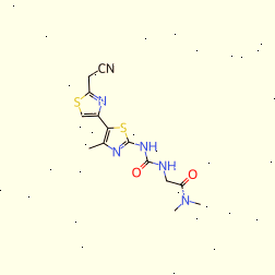 Cc1nc(NC(=O)NCC(=O)N(C)C)sc1-c1csc(CC#N)n1